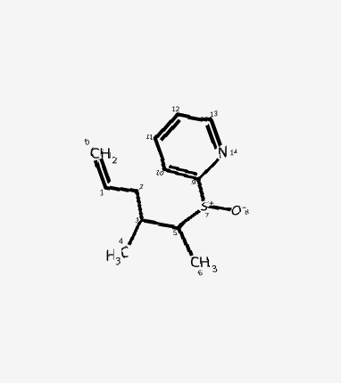 C=CCC(C)C(C)[S+]([O-])c1ccccn1